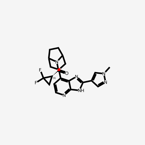 Cn1cc(-c2nc3c(N4CC5CCC(C4)N5C(=O)[C@@H]4CC4(F)F)ccnc3[nH]2)cn1